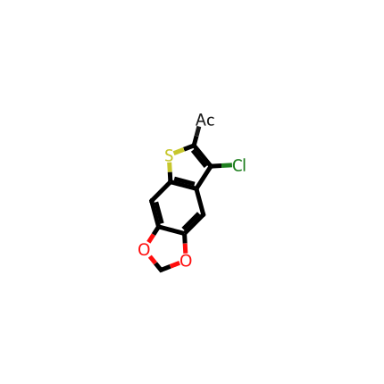 CC(=O)c1sc2cc3c(cc2c1Cl)OCO3